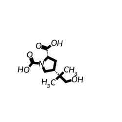 CC(C)(CO)[C@H]1C[C@@H](C(=O)O)N(C(=O)O)C1